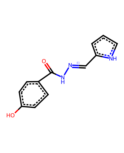 O=C(N/N=C/c1ccc[nH]1)c1ccc(O)cc1